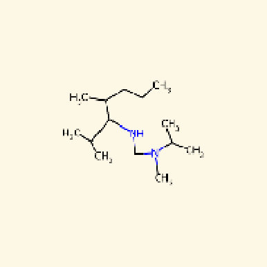 CCCC(C)C(NCN(C)C(C)C)C(C)C